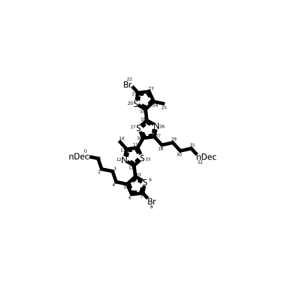 CCCCCCCCCCCCCCc1cc(Br)sc1-c1nc(C)c(-c2sc(-c3sc(Br)cc3C)nc2CCCCCCCCCCCCCC)s1